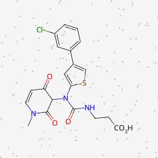 CN1C=CC(=O)C(N(C(=O)NCCC(=O)O)c2cc(-c3cccc(Cl)c3)cs2)C1=O